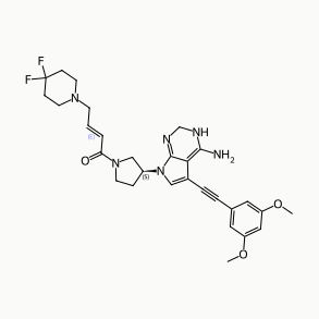 COc1cc(C#Cc2cn([C@H]3CCN(C(=O)/C=C/CN4CCC(F)(F)CC4)C3)c3c2=C(N)NCN=3)cc(OC)c1